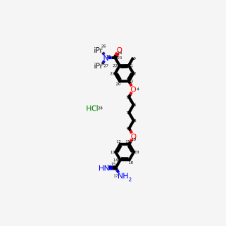 Cc1cc(OCCCCCOc2ccc(C(=N)N)cc2)ccc1C(=O)N(C(C)C)C(C)C.Cl